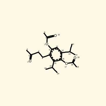 CC(=O)CCc1c(OC(C)=O)cc(C(C)C)c(OC(C)=O)c1C(C)C